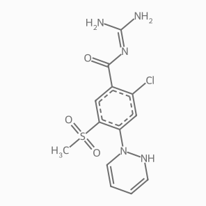 CS(=O)(=O)c1cc(C(=O)N=C(N)N)c(Cl)cc1N1C=CC=CN1